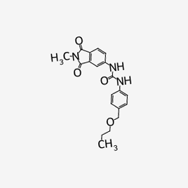 CCCOCc1ccc(NC(=O)Nc2ccc3c(c2)C(=O)N(C)C3=O)cc1